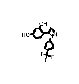 Oc1ccc(-c2ccnn2-c2ccc(C(F)(F)F)cc2)c(O)c1